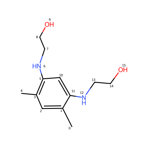 Cc1cc(C)c(NCCO)cc1NCCO